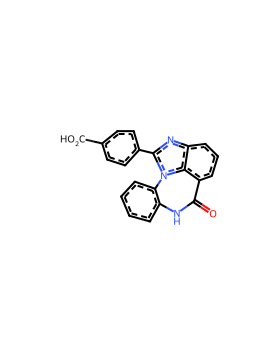 O=C(O)c1ccc(-c2nc3cccc4c3n2-c2ccccc2NC4=O)cc1